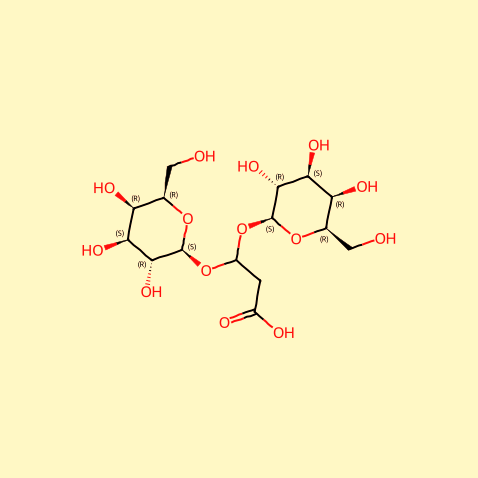 O=C(O)CC(O[C@@H]1O[C@H](CO)[C@H](O)[C@H](O)[C@H]1O)O[C@@H]1O[C@H](CO)[C@H](O)[C@H](O)[C@H]1O